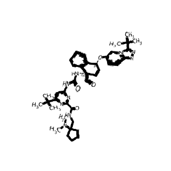 CN(C)C1(CNC(=O)c2nc(NC(=O)N[C@@]3(C=O)C=C[C@@H](Oc4ccc5nnc(C(C)(C)C)n5c4)c4ccccc43)cc(C(C)(C)C)n2)CCCC1